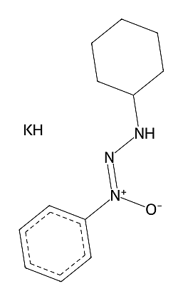 [KH].[O-]/[N+](=N\NC1CCCCC1)c1ccccc1